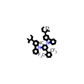 C=C(C)/C(=C\C)c1ccc2c(c1)c1ccccc1n2-c1cc(-c2c(C(F)(F)F)cccc2C(F)(F)F)cc(-n2c3ccccc3c3cc(C(/C=C\C)=C(\C)CC)ccc32)c1C#N